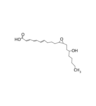 CCCCCC(O)CCC1OC1CCC/C=C/C=C/C=C/C(=O)O